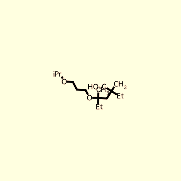 CCC(C)(CC(C)(CC)C(=O)O)OCCCOC(C)C